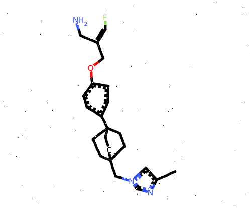 Cc1cn(CC23CCC(c4ccc(OC/C(=C/F)CN)cc4)(CC2)CC3)cn1